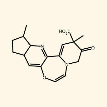 CC1CCC2C=C3OC=CN4CC(=O)C(C)(C(=O)O)C=C4C3=NC12